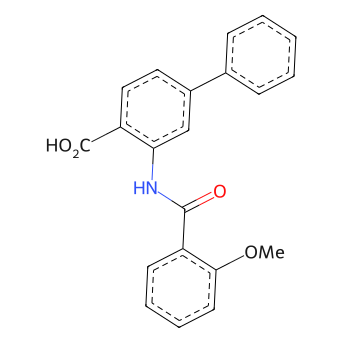 COc1ccccc1C(=O)Nc1cc(-c2ccccc2)ccc1C(=O)O